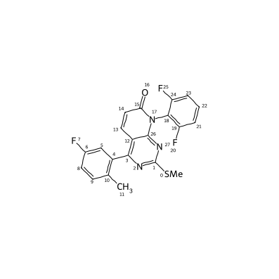 CSc1nc(-c2cc(F)ccc2C)c2ccc(=O)n(-c3c(F)cccc3F)c2n1